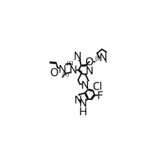 C=CC(=O)N1C[C@H](C)N(c2c(C#N)c(OC[C@@H]3CCCN3C)nc3c2CCN(c2c(Cl)c(F)cc4[nH]ncc24)C3)C[C@H]1C